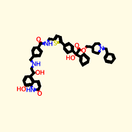 O=C(NCc1ccc(-c2ccc(C(O)(C(=O)OCC3CCN(Cc4ccccc4)CC3)c3ccccc3)cc2)s1)c1ccc(CNC[C@H](O)c2ccc(O)c3[nH]c(=O)ccc23)cc1